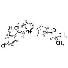 C[C@@H](Nc1nc(N2CCN(C(=O)CN(C)C)CC2)ncc1Cl)c1ccc(Cl)cc1Cl